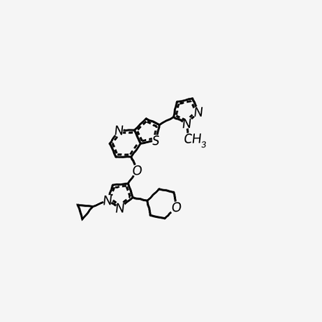 Cn1nccc1-c1cc2nccc(Oc3cn(C4CC4)nc3C3CCOCC3)c2s1